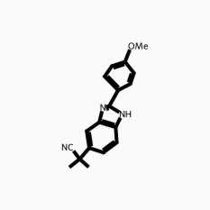 COc1ccc(-c2nc3cc(C(C)(C)C#N)ccc3[nH]2)cc1